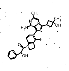 Cc1cn2c(C3CC(C)(O)C3)nc(-c3ccc4c(c3F)CCN4C(=O)C(O)c3ccccc3)c2c(N)n1